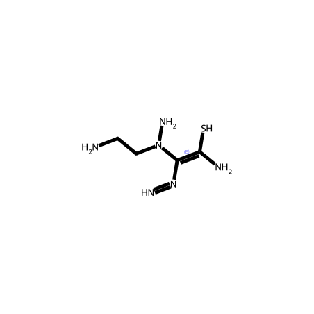 N=N/C(=C(\N)S)N(N)CCN